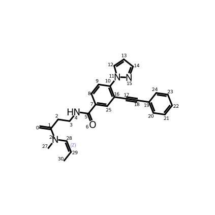 C=C(CCNC(=O)c1ccc(-n2cccn2)c(C#Cc2ccccc2)c1)N(C)/C=C\C